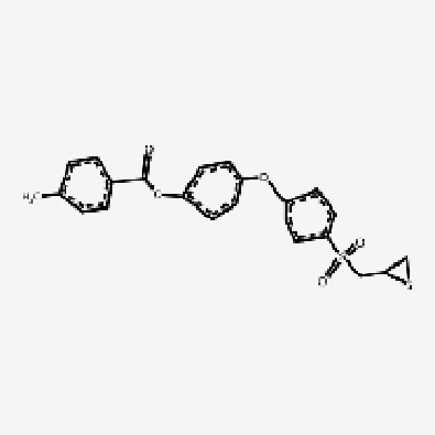 Cc1ccc(C(=O)Oc2ccc(Oc3ccc(S(=O)(=O)CC4CS4)cc3)cc2)cc1